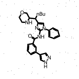 CCCCC(c1cn(-c2ccccc2)c(NC(=O)c2cccc(-c3cn[nH]c3)c2)n1)C1COCCN1